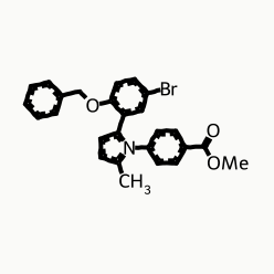 COC(=O)c1ccc(-n2c(C)ccc2-c2cc(Br)ccc2OCc2ccccc2)cc1